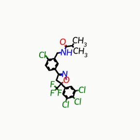 CC(C)C(=O)NCc1cc(C2=NOC(c3cc(Cl)c(Cl)c(Cl)c3)(C(F)(F)F)C2)ccc1Cl